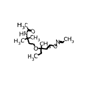 C/C=N/OCCC(C)(CC)OCCC(C)(C)NC(C)=O